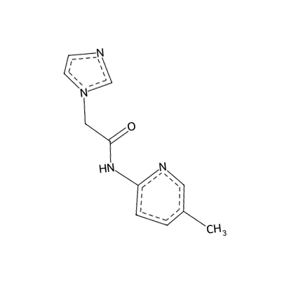 Cc1ccc(NC(=O)Cn2ccnc2)nc1